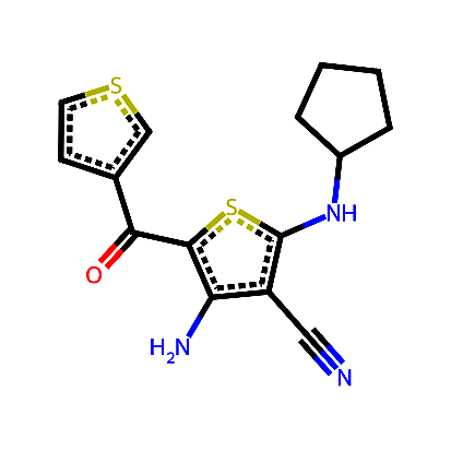 N#Cc1c(NC2CCCC2)sc(C(=O)c2ccsc2)c1N